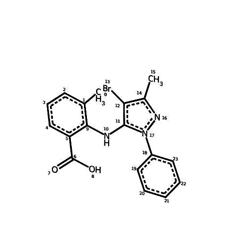 Cc1cccc(C(=O)O)c1Nc1c(Br)c(C)nn1-c1ccccc1